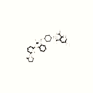 O=C(N[C@H]1CC[C@H](Cn2c(=O)n(-c3cccc(N4CCCC4=O)n3)c3ccccc32)CC1)c1cc(Cl)cnc1C(F)F